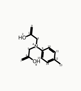 C=C(O)CN(CC(=C)O)c1ccc(C)cc1